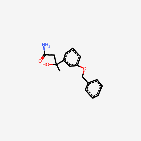 CC(O)(CC(N)=O)c1cccc(OCc2ccccc2)c1